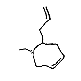 C=CCC1CC=CCN1C